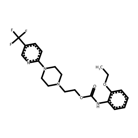 CCOc1ccccc1NC(=O)OCCN1CCN(c2ccc(C(F)(F)F)cn2)CC1